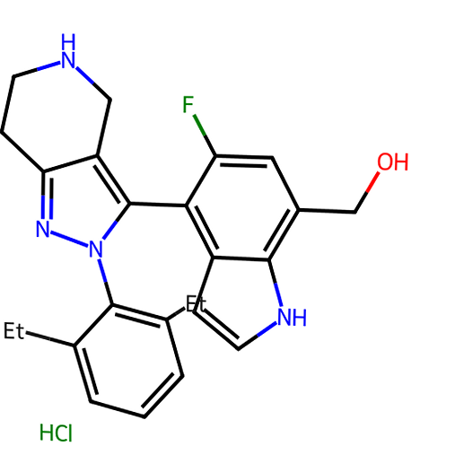 CCc1cccc(CC)c1-n1nc2c(c1-c1c(F)cc(CO)c3[nH]ccc13)CNCC2.Cl